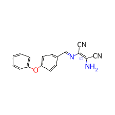 N#C/C(N)=C(\C#N)N=Cc1ccc(Oc2ccccc2)cc1